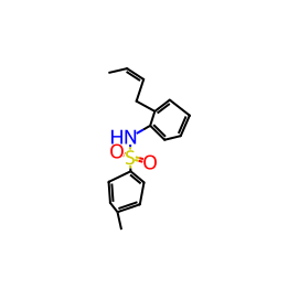 C/C=C\Cc1ccccc1NS(=O)(=O)c1ccc(C)cc1